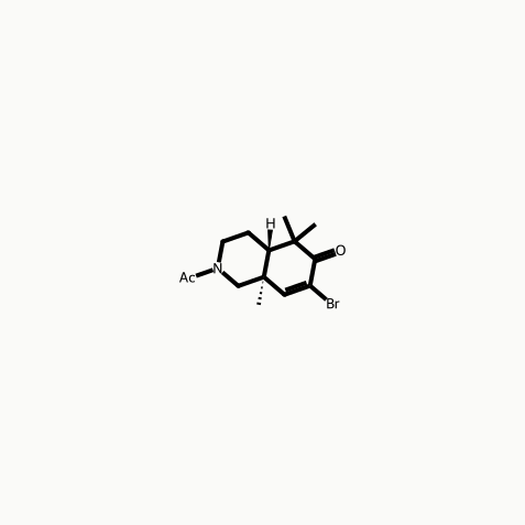 CC(=O)N1CC[C@@H]2C(C)(C)C(=O)C(Br)=C[C@@]2(C)C1